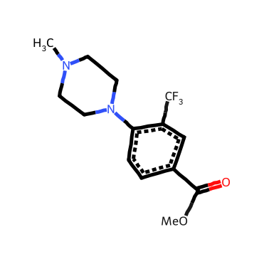 COC(=O)c1ccc(N2CCN(C)CC2)c(C(F)(F)F)c1